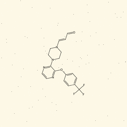 O=CC=CN1CCN(c2nccnc2Oc2ccc(C(F)(F)F)cc2)CC1